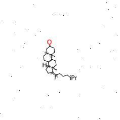 CC(C)CCC[C@@H](C)[C@H]1CC[C@H]2C3=C(CC[C@]12C)[C@@]1(C)CCC(=O)C[C@]1(C)CC3